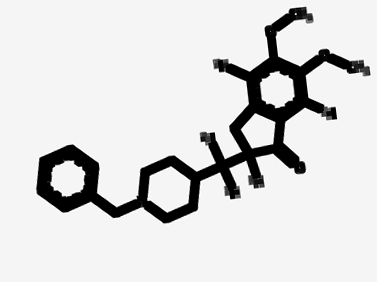 [2H]c1c2c(c([2H])c(OC)c1OC)C(=O)C([2H])(C([2H])([2H])C1CCN(Cc3ccccc3)CC1)C2